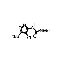 CNC(=O)Nc1noc(C(C)(C)C)c1Cl